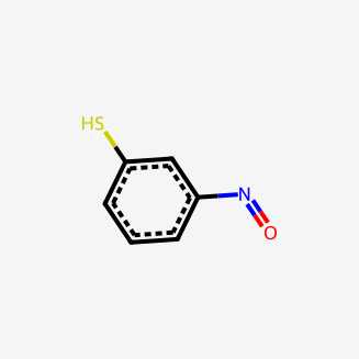 O=Nc1cccc(S)c1